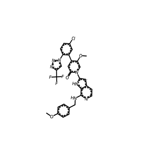 COc1ccc(CNc2nccc3[c]c(-n4cc(OC)c(-c5cc(Cl)ccc5-n5cc(C(F)(F)F)nn5)cc4=O)[nH]c23)cc1